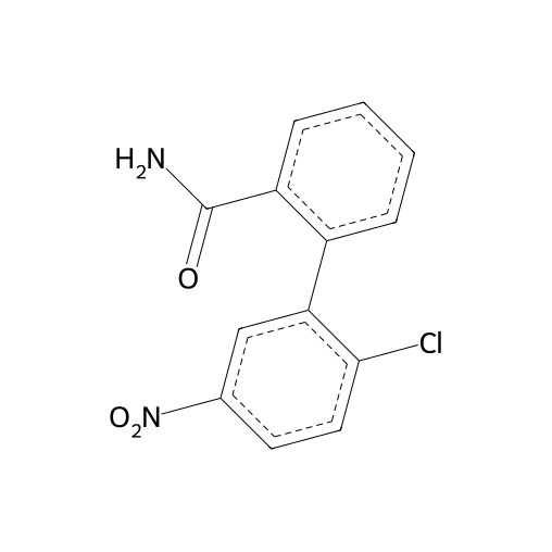 NC(=O)c1ccccc1-c1cc([N+](=O)[O-])ccc1Cl